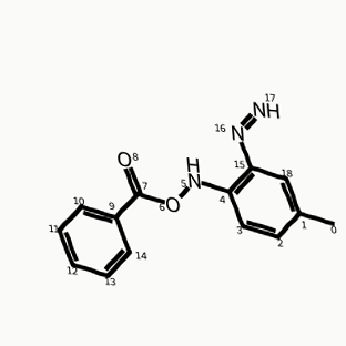 Cc1ccc(NOC(=O)c2ccccc2)c(N=N)c1